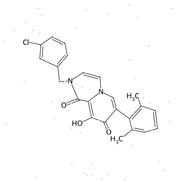 Cc1cccc(C)c1-c1cn2ccn(Cc3cccc(Cl)c3)c(=O)c2c(O)c1=O